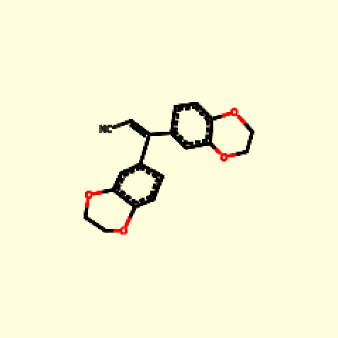 N#CC=C(c1ccc2c(c1)OCCO2)c1ccc2c(c1)OCCO2